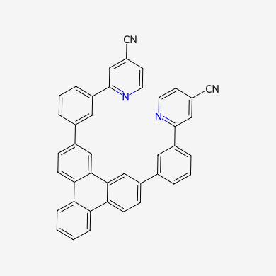 N#Cc1ccnc(-c2cccc(-c3ccc4c5ccccc5c5ccc(-c6cccc(-c7cc(C#N)ccn7)c6)cc5c4c3)c2)c1